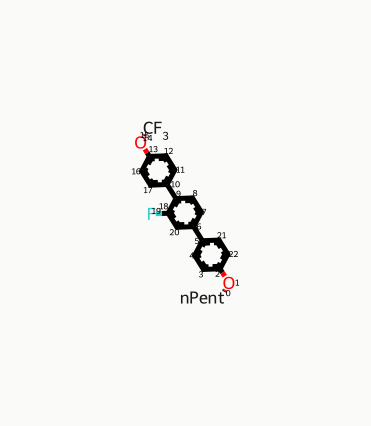 CCCCCOc1ccc(-c2ccc(-c3ccc(OC(F)(F)F)cc3)c(F)c2)cc1